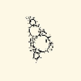 Cc1ccc([C@@]2(O)/C=C/C[C@H](C)[C@@H](C)S(=O)(=O)NC(=O)c3ccc4c(c3)N(CCCCc3cc(Cl)ccc3CO4)C[C@@H]3CC[C@H]32)nc1